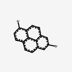 Brc1cc2ccc3ccc(Br)c4ccc(c1)c2c34